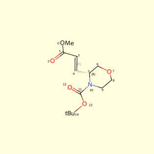 COC(=O)/C=C/[C@@H]1COCCN1C(=O)OC(C)(C)C